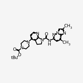 Cc1cn2nc(NC(=O)N3CCc4c(N5CCN(C(=O)OC(C)(C)C)CC5)ccnc43)cc(C)c2n1